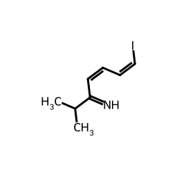 CC(C)C(=N)/C=C\C=C/I